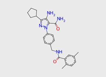 Cc1ccc(C)c(C(=O)NCc2ccc(-n3nc(C4CCCC4)c(N)c3C(N)=O)cc2)c1